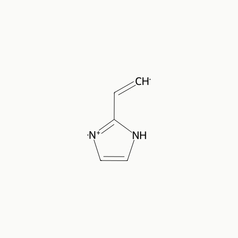 [CH]=CC1=[N+]C=CN1